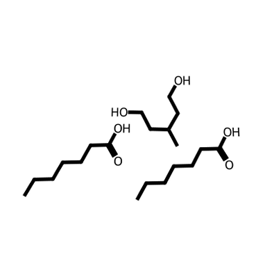 CC(CCO)CCO.CCCCCCC(=O)O.CCCCCCC(=O)O